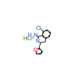 Cl.NC1=NC(c2ccco2)Cc2cccc(Cl)c21